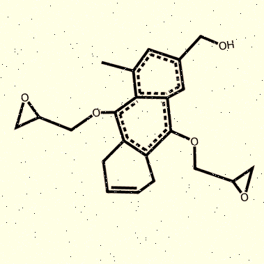 Cc1cc(CO)cc2c(OCC3CO3)c3c(c(OCC4CO4)c12)CC=CC3